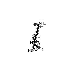 N=C(N)NCCCCC(=O)NC(=O)NN[C@@H](CC(=O)O)C(N)=O